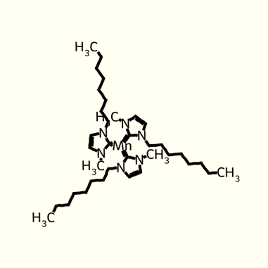 CCCCCCCCn1ccn(C)[c]1=[Mn](=[c]1n(C)ccn1CCCCCCCC)=[c]1n(C)ccn1CCCCCCCC